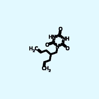 C=CCC(CC=C)Cn1c(=O)[nH]c(=O)[nH]c1=O